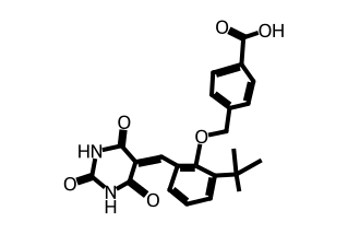 CC(C)(C)c1cccc(C=C2C(=O)NC(=O)NC2=O)c1OCc1ccc(C(=O)O)cc1